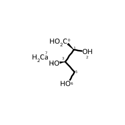 O=C(O)[C@@H](O)[C@H](O)CO.[CaH2]